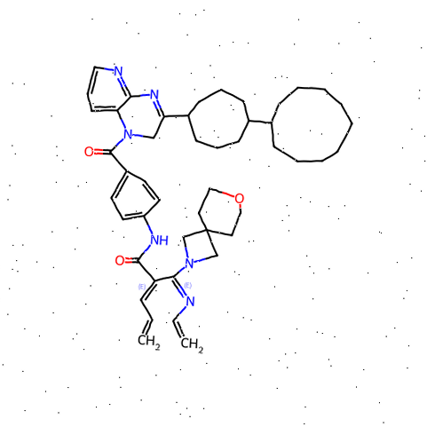 C=C/C=C(C(=O)Nc1ccc(C(=O)N2CC(C3CCCC(C4CCCCCCCCC4)CCC3)=Nc3ncccc32)cc1)\C(=N/C=C)N1CC2(CCOCC2)C1